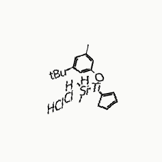 Cc1cc([O][Ti]([C]2=CC=CC2)[SiH](C)C)cc(C(C)(C)C)c1.Cl.Cl